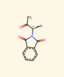 BC(=O)[C@@H](C(C)C)N1C(=O)c2ccccc2C1=O